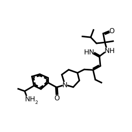 CC/C(=C/C(=N)NC(C)(C=O)CC(C)C)CC1CCN(C(=O)c2cccc(C(C)N)c2)CC1